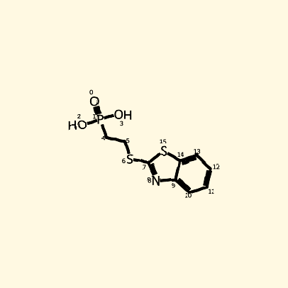 O=P(O)(O)CCSc1nc2ccccc2s1